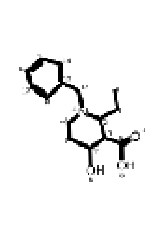 CCC1C(C(=O)O)C(O)CCN1Cc1ccccc1